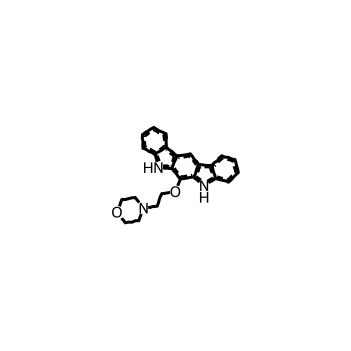 c1ccc2c(c1)[nH]c1c(OCCN3CCOCC3)c3[nH]c4ccccc4c3cc12